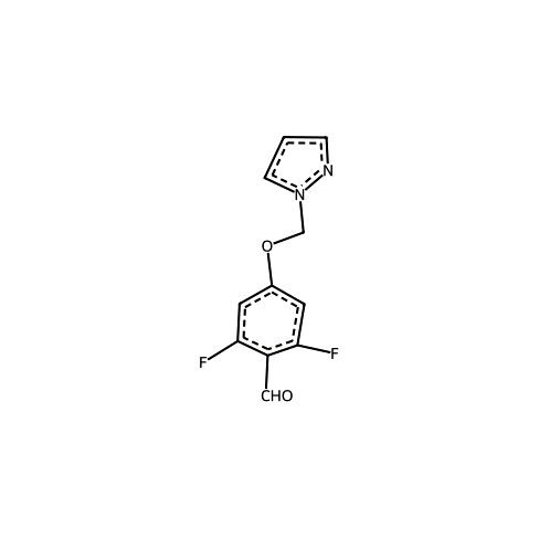 O=Cc1c(F)cc(OCn2cccn2)cc1F